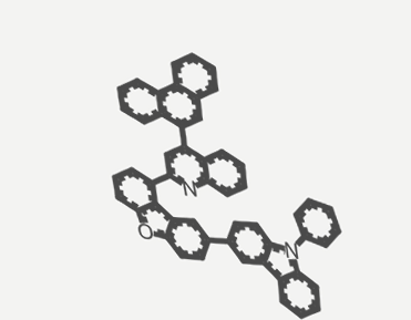 c1ccc(-n2c3ccccc3c3cc(-c4ccc5oc6cccc(-c7cc(-c8cc9ccccc9c9ccccc89)c8ccccc8n7)c6c5c4)ccc32)cc1